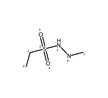 CCS(=O)(=O)N[N]C